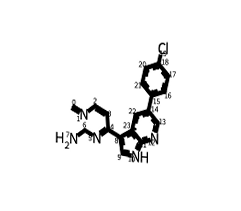 C=N/C=C\C(=N/CN)c1c[nH]c2ncc(-c3ccc(Cl)cc3)cc12